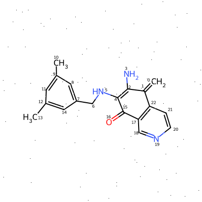 C=C1C(N)=C(NCc2cc(C)cc(C)c2)C(=O)c2cnccc21